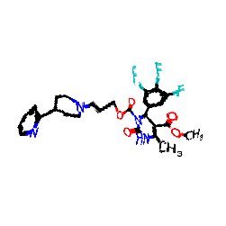 COC(=O)C1=C(C)NC(=O)N(C(=O)OCCCN2CCC(c3ccccn3)CC2)C1c1cc(F)c(F)c(F)c1